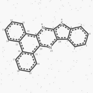 c1ccc2c(c1)sc1nc3c4ccccc4c4ccccc4c3nc12